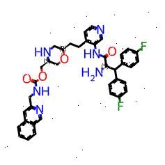 N[C@H](C(=O)Nc1cnccc1CC[C@@H]1CN[C@H](COC(=O)NCc2cc3ccccc3cn2)CO1)C(c1ccc(F)cc1)c1ccc(F)cc1